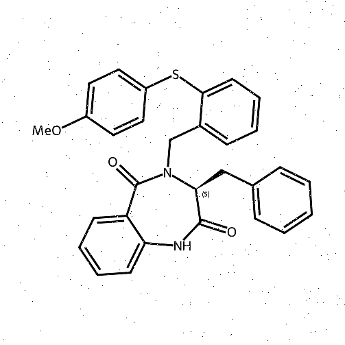 COc1ccc(Sc2ccccc2CN2C(=O)c3ccccc3NC(=O)[C@@H]2Cc2ccccc2)cc1